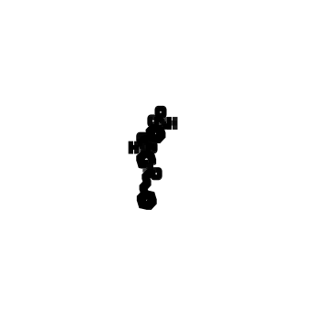 O=C(CCCc1ccccc1)N1CCC(NS(=O)(=O)c2ccc3[nH]c(=O)oc3c2)CC1